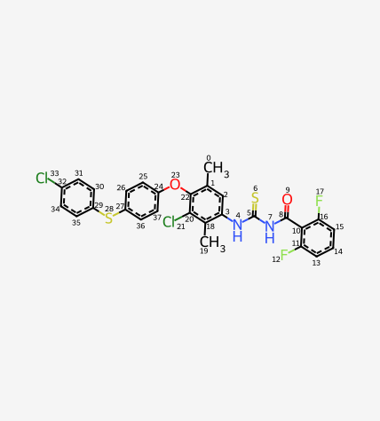 Cc1cc(NC(=S)NC(=O)c2c(F)cccc2F)c(C)c(Cl)c1Oc1ccc(Sc2ccc(Cl)cc2)cc1